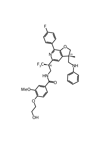 COc1cc(C(=O)NC[C@H](c2cc3c(c(-c4ccc(F)cc4)n2)OC[C@]3(C)CNc2ccccc2)C(F)(F)F)ccc1OCCO